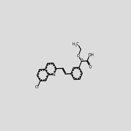 CCO[C@@H](C(=O)O)c1cccc(C=Cc2ccc3ccc(Cl)cc3n2)c1